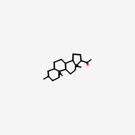 CC(=O)C1CCC2C3CCC4CC(C)CCC4(C)C3CCC12C